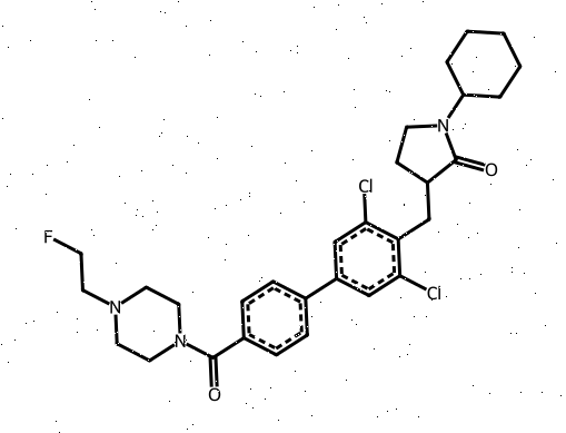 O=C(c1ccc(-c2cc(Cl)c(CC3CCN(C4CCCCC4)C3=O)c(Cl)c2)cc1)N1CCN(CCF)CC1